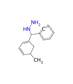 CC1C=CC=C(C(NN)c2ccccc2)C1